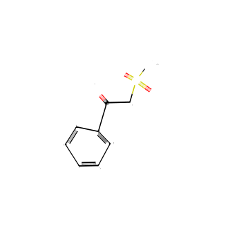 CCCCCS(=O)(=O)CC(=O)c1ccccc1